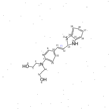 OCCN(CCO)c1ccc(/C=C/C2Nc3ccccc3S2)cc1